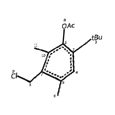 CC(=O)Oc1c(C(C)(C)C)cc(C)c(CCl)c1C